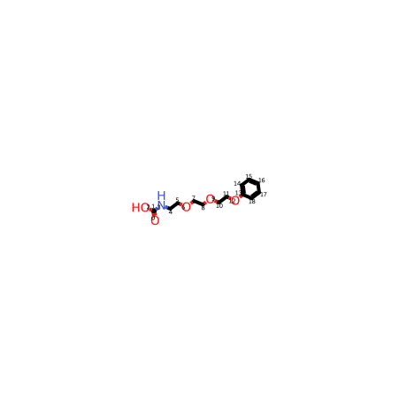 O=C(O)NCCOCCOCCOc1ccccc1